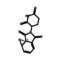 O=C1CCC(N2C(=O)C3=CC=CC4O[C@]34C2=O)C(=O)N1